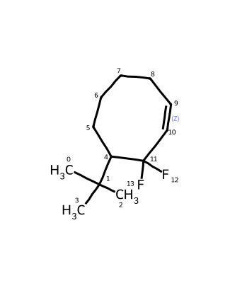 CC(C)(C)C1CCCC/C=C\C1(F)F